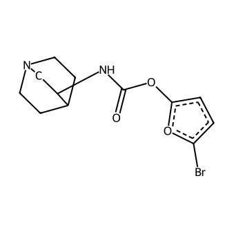 O=C(NC1CN2CCC1CC2)Oc1ccc(Br)o1